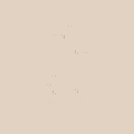 CC(OCC(C)([N+](=O)[O-])[N+](=O)[O-])OCC(C1CC1)([N+](=O)[O-])[N+](=O)[O-]